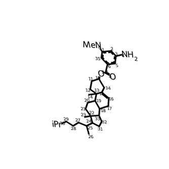 CNc1cc(N)cc(C(=O)OC2CCC3(C)C(=CCC4C3CCC3(C)C(C(C)CCCC(C)C)CCC43)C2)c1